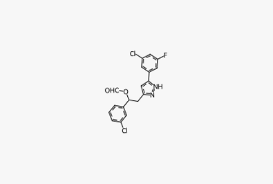 O=COC(Cc1cc(-c2cc(F)cc(Cl)c2)[nH]n1)c1cccc(Cl)c1